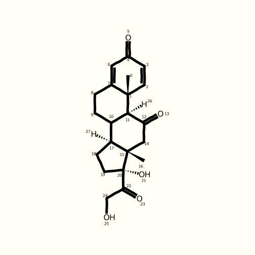 C[C@]12C=CC(=O)C=C1CCC1[C@@H]2C(=O)C[C@@]2(C)[C@H]1CC[C@]2(O)C(=O)CO